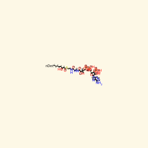 CCCCCCCCCCCCCC=CC(O)=CC(=O)SCCNC(=O)CCNC(=O)[C@H](O)C(C)(C)COP(=O)(O)OP(=O)(O)OC[C@H]1O[C@@H](n2cnc3c(N)ncnc32)[C@H](O)[C@@H]1OP(=O)(O)O